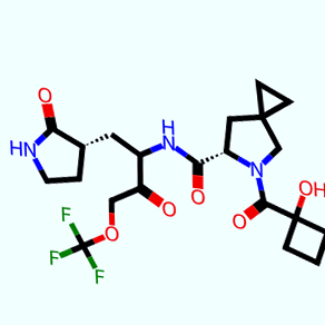 O=C(COC(F)(F)F)C(C[C@@H]1CCNC1=O)NC(=O)[C@@H]1CC2(CC2)CN1C(=O)C1(O)CCC1